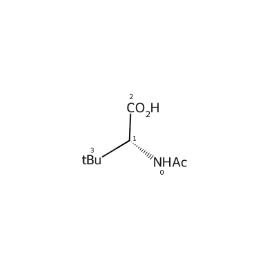 CC(=O)N[C@@H](C(=O)O)C(C)(C)C